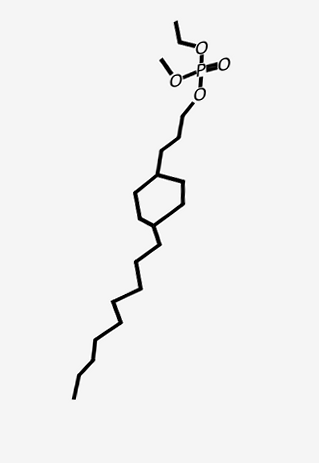 CCCCCCCCCC1CCC(CCCOP(=O)(OC)OCC)CC1